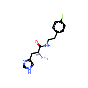 N[C@@H](Cc1c[nH]cn1)C(=O)NCCc1ccc(F)cc1